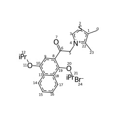 Cc1sc[n+](CC(=O)c2cc(OC(C)C)c3ccccc3c2OC(C)C)c1C.[Br-]